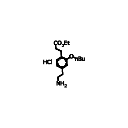 CCCCOc1cc(CCN)ccc1CCC(=O)OCC.Cl